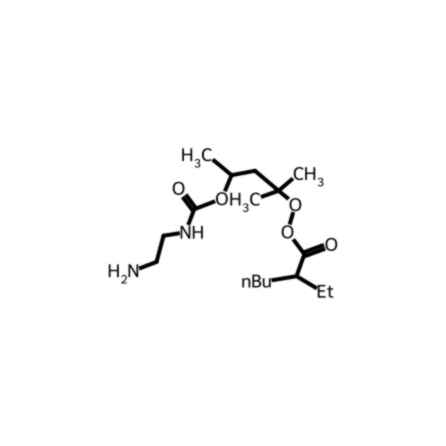 CCCCC(CC)C(=O)OOC(C)(C)CC(C)OC(=O)NCCN